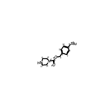 CC(C)(C)c1ccc(COC(=O)N2CCNCC2)cc1